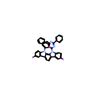 Ic1ccc2c(c1)c1ccc3c4cc(I)ccc4n(-c4nc(-c5cc#ccc5)nc(-c5ccccc5)n4)c3c1n2-c1ccccc1